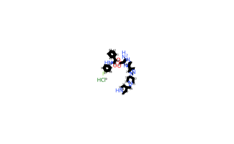 Cl.Nc1ncc(-c2cnn(C3CCN(CC4CCNCC4)CC3)c2)nc1C(=O)O[C@@H](C(=O)Nc1ccc(F)cc1)c1ccccc1